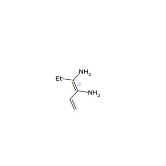 C=C/C(N)=C(/N)CC